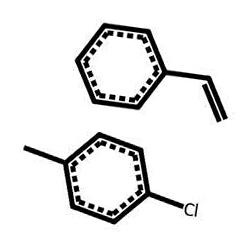 C=Cc1ccccc1.Cc1ccc(Cl)cc1